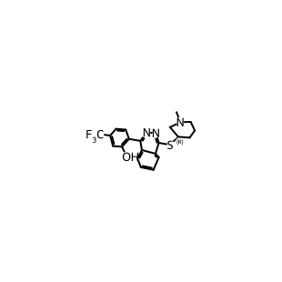 CN1CCC[C@@H](Sc2nnc(-c3ccc(C(F)(F)F)cc3O)c3ccccc23)C1